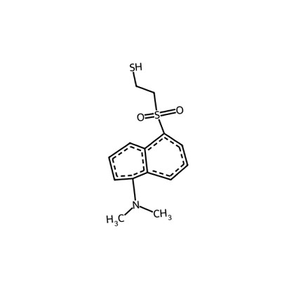 CN(C)c1cccc2c(S(=O)(=O)CCS)cccc12